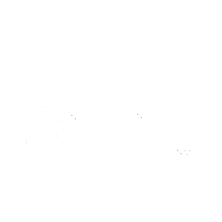 CNC(=O)c1csc2c(C(F)(F)F)cc(C3CCN(C(=O)OC(C)(C)C)CC3)nc12